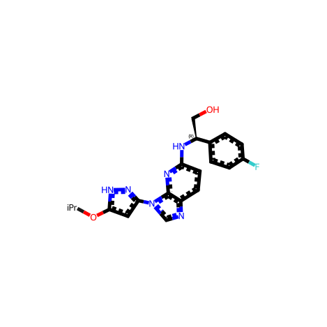 CC(C)Oc1cc(-n2cnc3ccc(N[C@@H](CO)c4ccc(F)cc4)nc32)n[nH]1